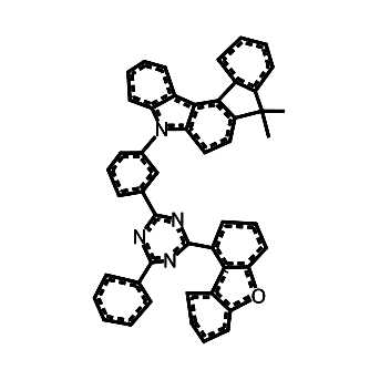 CC1(C)c2ccccc2-c2c1ccc1c2c2ccccc2n1-c1cccc(-c2nc(-c3ccccc3)nc(-c3cccc4oc5ccccc5c34)n2)c1